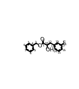 O=C(OCc1ccccc1)C(O)Cc1cccc(F)c1